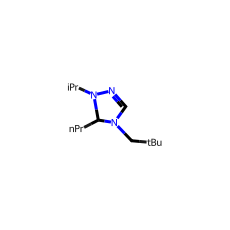 CCCC1N(CC(C)(C)C)C=NN1C(C)C